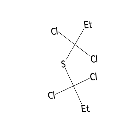 CCC(Cl)(Cl)SC(Cl)(Cl)CC